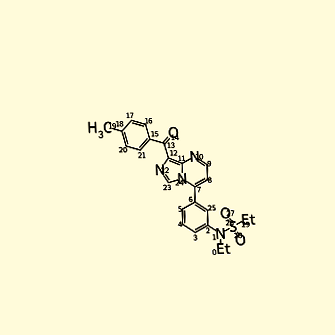 CCN(c1cccc(-c2ccnc3c(C(=O)c4ccc(C)cc4)ncn23)c1)S(=O)(=O)CC